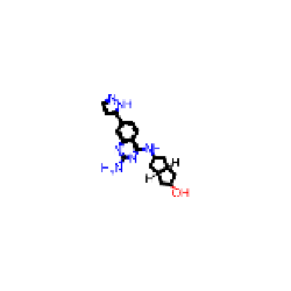 Nc1nc(NC2C[C@H]3CC(O)C[C@H]3C2)c2ccc(-c3ccn[nH]3)cc2n1